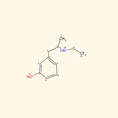 CC(Cc1cccc(O)c1)NCC(F)(F)F